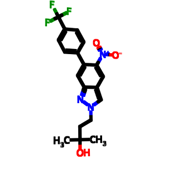 CC(C)(O)CCn1cc2cc([N+](=O)[O-])c(-c3ccc(C(F)(F)F)cc3)cc2n1